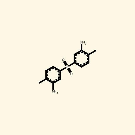 Cc1ccc(S(=O)(=O)c2ccc(C)c(N)c2)cc1N